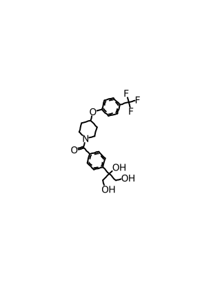 O=C(c1ccc(C(O)(CO)CO)cc1)N1CCC(Oc2ccc(C(F)(F)F)cc2)CC1